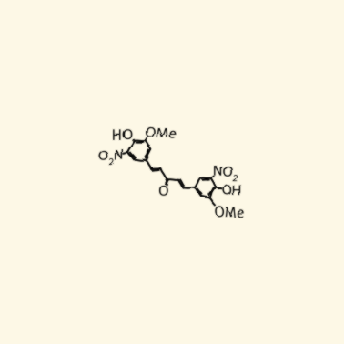 COc1cc(/C=C/C(=O)/C=C/c2cc(OC)c(O)c([N+](=O)[O-])c2)cc([N+](=O)[O-])c1O